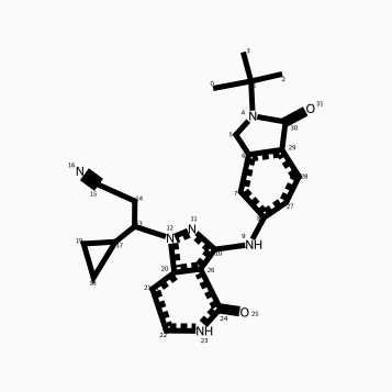 CC(C)(C)N1Cc2cc(Nc3nn(C(CC#N)C4CC4)c4cc[nH]c(=O)c34)ccc2C1=O